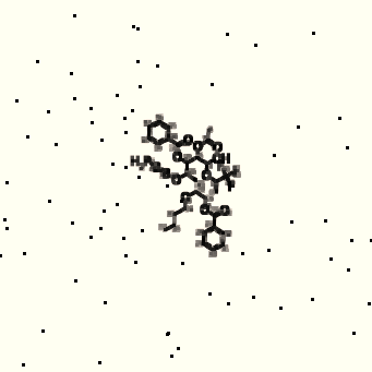 C=C(OC(O)[C@H](OC(C)=O)C(OC(=O)c1ccccc1)[C@@H](C[C@H](COC(=O)c1ccccc1)OCCCC)OB=BP)C(F)(F)F